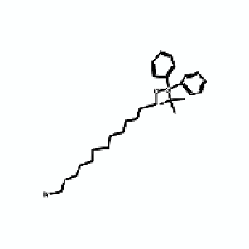 CC(C)(C)[Si](OCCCCCCCCCCCCCBr)(c1ccccc1)c1ccccc1